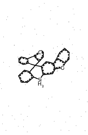 c1ccc2c(c1)[SiH2]c1cc3oc4ccccc4c3cc1C21c2ccccc2-c2ccccc21